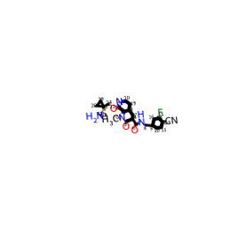 Cn1c(=O)c(C(=O)NCc2ccc(C#N)c(F)c2)cc2ccnc(OCC3(SN)CC3)c21